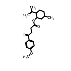 COc1ccc(C(=O)CCC(=O)OC2CC(C)CCC2C(C)C)cc1